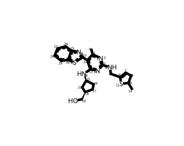 Cc1nc(NCC2=CCC(C)S2)nc(N[C@H]2CC[C@@H](CO)C2)c1-c1nc2ccccc2s1